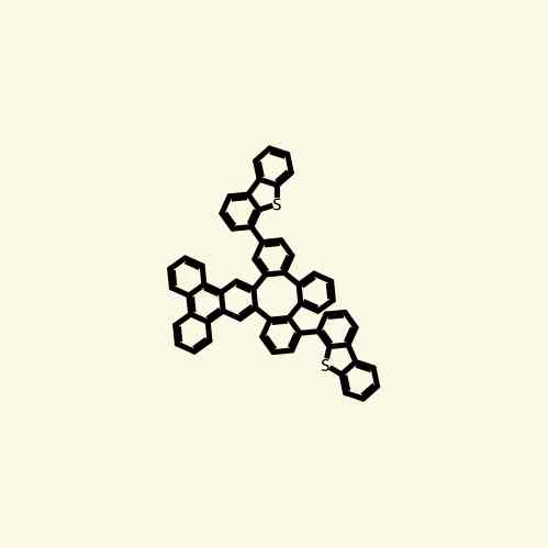 c1ccc2c(c1)-c1ccc(-c3cccc4c3sc3ccccc34)cc1-c1cc3c4ccccc4c4ccccc4c3cc1-c1cccc(-c3cccc4c3sc3ccccc34)c1-2